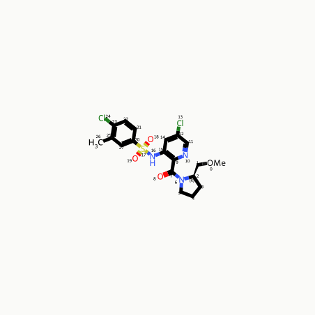 COC[C@H]1CCCN1C(=O)c1ncc(Cl)cc1NS(=O)(=O)c1ccc(Cl)c(C)c1